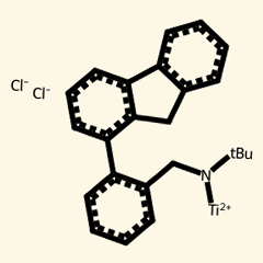 CC(C)(C)[N]([Ti+2])Cc1ccccc1-c1cccc2c1Cc1ccccc1-2.[Cl-].[Cl-]